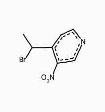 CC(Br)c1ccncc1[N+](=O)[O-]